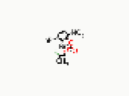 CCCc1ccc([N+](=O)[O-])c(OC(=O)OCC(C)F)c1[N+](=O)[O-]